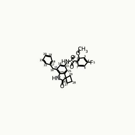 COc1cc(F)ccc1S(=O)(=O)Nc1cc(Cc2ccccc2)c2c(c1)C1(CCC1)C(=O)N2